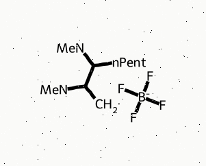 F[B-](F)(F)F.[CH2]C(NC)C(CCCCC)NC